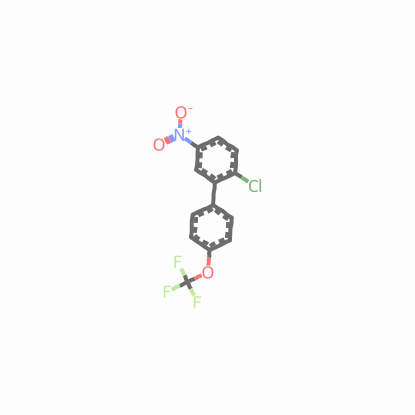 O=[N+]([O-])c1ccc(Cl)c(-c2ccc(OC(F)(F)F)cc2)c1